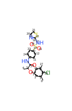 Cc1cc(OC(C)C(=O)Nc2ccc(S(=O)(=O)Nc3nccs3)cc2)cc(C)c1Cl